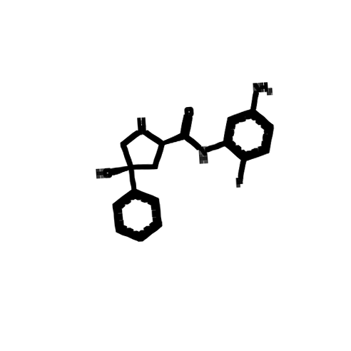 Nc1ccc(F)c(NC(=O)[C@H]2C[C@](O)(c3ccccc3)CN2)c1